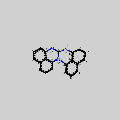 c1cc2c3c(cccc3c1)N1c3cccc4cccc(c34)NC1N2